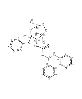 C[C@]1(Cc2ccccc2)C[C@H]2CO[C@H](O2)[C@H]1OC(=O)CC(Sc1ccccc1)c1ccccc1